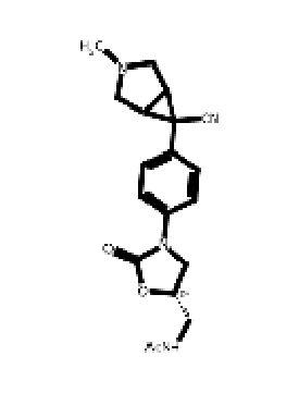 CC(=O)NC[C@H]1CN(c2ccc(C3(C#N)C4CN(C)CC43)cc2)C(=O)O1